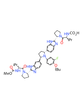 COC(=O)N[C@H](C(=O)N1CCC[C@H]1c1nc2ccc([C@H]3CC[C@H](c4ccc5nc([C@@H]6CCCN6C(=O)[C@@H](NC(=O)O)C(C)C)[nH]c5c4)N3c3ccc(OC(C)(C)C)c(F)c3)cc2[nH]1)C(C)C